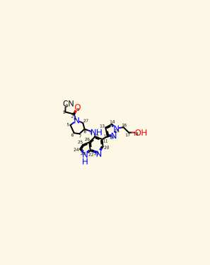 N#CCC(=O)N1CCCC(Nc2c(-c3ccn(CCO)n3)cnc3[nH]ccc23)C1